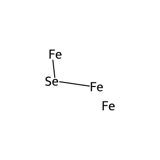 [Fe].[Fe][Se][Fe]